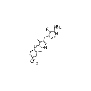 Cc1c(Cc2ccnc(N)c2F)cncc1Oc1ccc(C(F)(F)F)cc1F